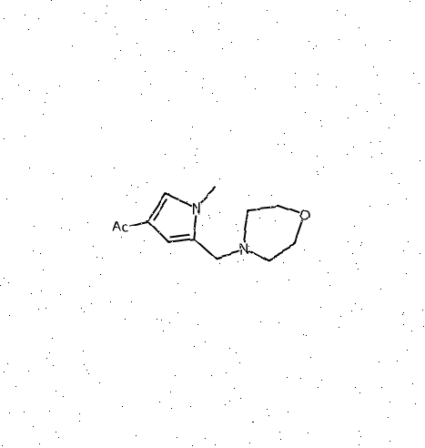 CC(=O)c1cc(CN2CCOCC2)n(C)c1